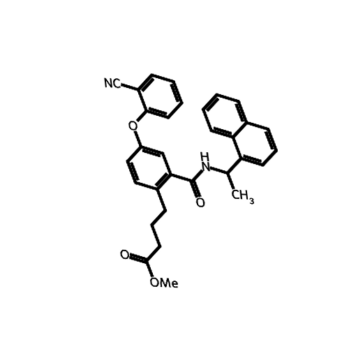 COC(=O)CCCc1ccc(Oc2ccccc2C#N)cc1C(=O)NC(C)c1cccc2ccccc12